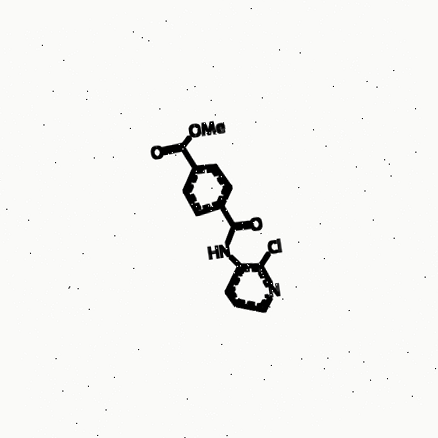 COC(=O)c1ccc(C(=O)Nc2cccnc2Cl)cc1